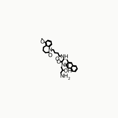 COc1cccc2c1CCCC(=O)N2CCCC(=O)N[C@H](Cc1ccc2ccccc2c1)C(=O)NCC(O)CN